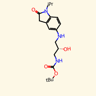 CC(C)N1C(=O)Cc2cc(NC[C@H](O)CNC(=O)OC(C)(C)C)ccc21